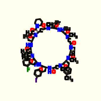 CC[C@H](C)[C@@H]1NC(=O)[C@H](CC(C)C)N(C)C(=O)C[C@@H](C(=O)N2CCCCC2)N(C)C(=O)[C@H](CC(C)C)NC(=O)C(C)(C)N(C)C(=O)[C@H](Cc2ccccc2F)NC(=O)[C@H](Cc2cccc(I)c2)NC(=O)CN(C)C(=O)[C@H](Cc2ccc(C)cc2)N(C)C(=O)[C@@H]2CCN2C(=O)CN(C)C1=O